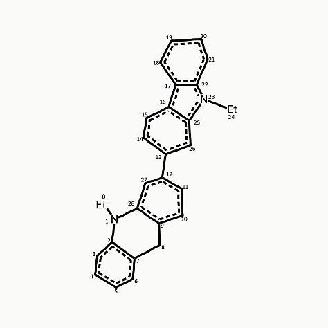 CCN1c2ccccc2Cc2ccc(-c3ccc4c5ccccc5n(CC)c4c3)cc21